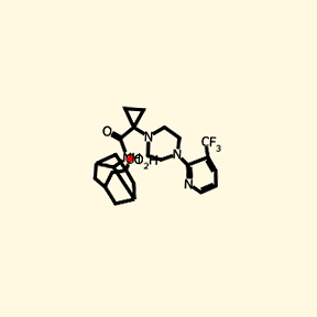 O=C(O)C12CC3CC(C1)C(NC(=O)C1(N4CCN(c5ncccc5C(F)(F)F)CC4)CC1)C(C3)C2